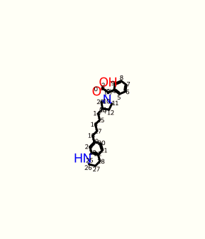 O=C(O)[C@H](c1ccccc1)N1CC[C@@H](CCCCCc2ccc3c(c2)NCCC3)C1